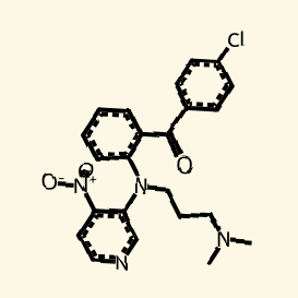 CN(C)CCCN(c1ccccc1C(=O)c1ccc(Cl)cc1)c1cnccc1[N+](=O)[O-]